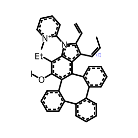 C=Cc1c(/C=C\C)c2c3c(c(OI)c(CC)c2n1-c1cccc[n+]1C)-c1ccccc1-c1ccccc1-c1ccccc1-3